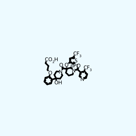 CCC[C@H]1N(C(=O)c2cnccc2C(F)(F)F)CCC[C@]1(Oc1csc(C(F)(F)F)c1)C(=O)N1CCC(O)(c2ccccc2OCCCC(=O)O)CC1